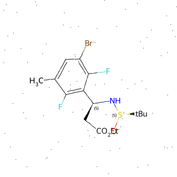 CCOC(=O)C[C@H](N[S@+]([O-])C(C)(C)C)c1c(F)c(C)cc(Br)c1F